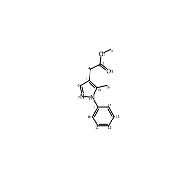 COC(=O)Cc1cnn(-c2ccccc2)c1C